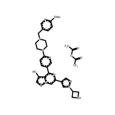 COc1ccc(CN2CCN(c3ccc(-c4nc(-c5cnn(C6CNC6)c5)cn5ncc(C#N)c45)cn3)CC2)cn1.O=C(OC(=O)C(F)(F)F)C(F)(F)F